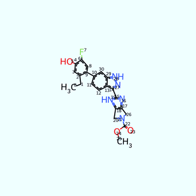 CCc1cc(O)c(F)cc1-c1ccc2c(-c3nc4c([nH]3)CN(C(=O)OC)C4)n[nH]c2c1